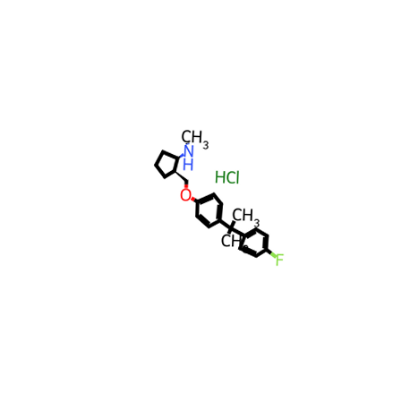 CN[C@@H]1CCC[C@@H]1COc1ccc(C(C)(C)c2ccc(F)cc2)cc1.Cl